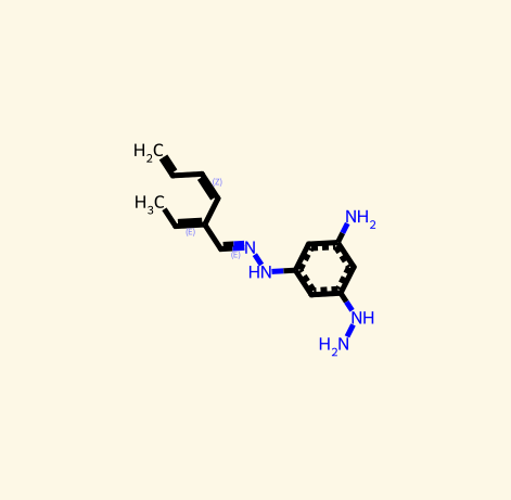 C=C\C=C/C(/C=N/Nc1cc(N)cc(NN)c1)=C\C